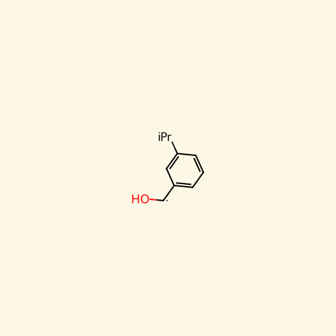 CC(C)c1cccc([CH]O)c1